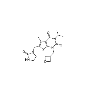 Cc1c(CN2CCNC2=O)sc2c1c(=O)n(C(C)C)c(=O)n2CC1COC1